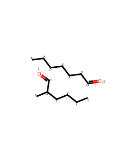 CCCCC(C)C=O.CCCCCCC=O